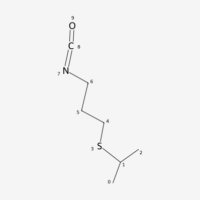 CC(C)SCCCN=C=O